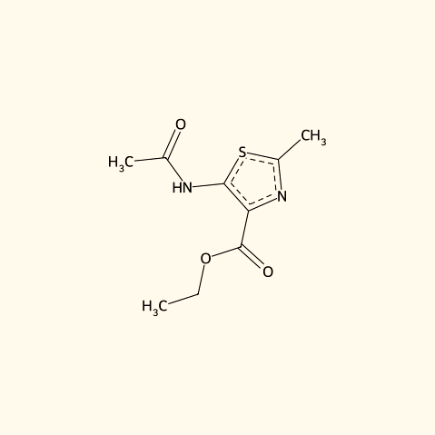 CCOC(=O)c1nc(C)sc1NC(C)=O